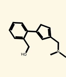 CN(C)CC1=CCC(c2ccccc2CO)=C1